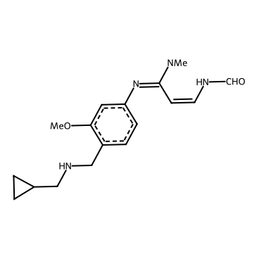 CNC(/C=C\NC=O)=N/c1ccc(CNCC2CC2)c(OC)c1